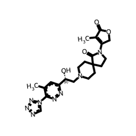 CC1=C(N2CCC3(CCN(C[C@@H](O)c4cc(C)c(-n5cnnn5)nn4)CC3)C2=O)COC1=O